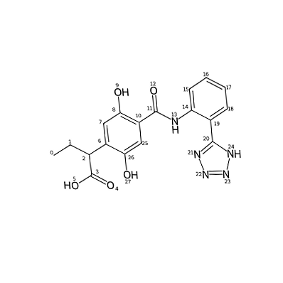 CCC(C(=O)O)c1cc(O)c(C(=O)Nc2ccccc2-c2nnn[nH]2)cc1O